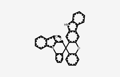 c1ccc2c(c1)Oc1cc3c(cc1C21c2ccccc2-n2c4ccccc4c4cccc1c42)[nH]c1ccccc13